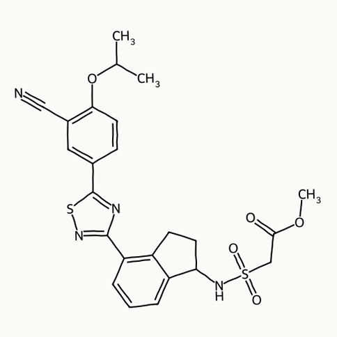 COC(=O)CS(=O)(=O)NC1CCc2c(-c3nsc(-c4ccc(OC(C)C)c(C#N)c4)n3)cccc21